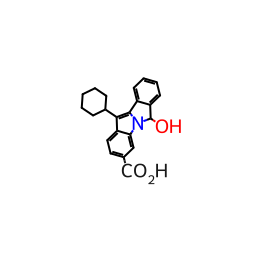 O=C(O)c1ccc2c(C3CCCCC3)c3n(c2c1)C(O)c1ccccc1-3